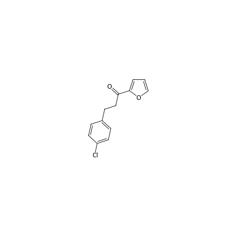 O=C(CCc1ccc(Cl)cc1)c1ccco1